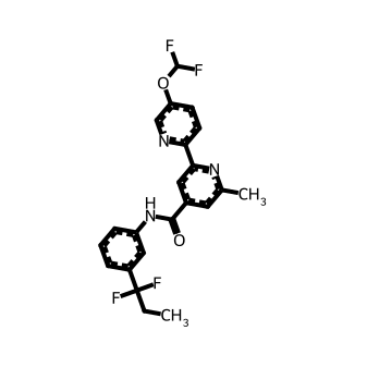 CCC(F)(F)c1cccc(NC(=O)c2cc(C)nc(-c3ccc(OC(F)F)cn3)c2)c1